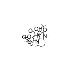 CC1CCCC(N(C)C(=O)OC(C)(C)C)c2nc(C(=O)O)c(OS(C)(=O)=O)c(=O)n21